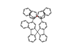 c1ccc(N(c2ccccc2)c2ccc3c(c2)C2(c4ccccc4-3)c3ccccc3-c3c2cc(N(c2ccccc2)c2ccccc2)c2ccccc32)cc1